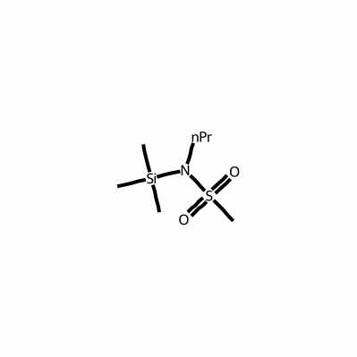 CCCN([Si](C)(C)C)S(C)(=O)=O